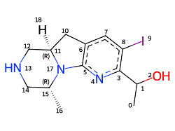 CC(O)c1nc2c(cc1I)C[C@@H]1CNC[C@@H](C)N21